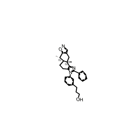 C[C@@H]1c2oncc2C[C@]2(C)c3nc(-c4ccccc4)n(-c4cccc(CCCO)c4)c3CCC12